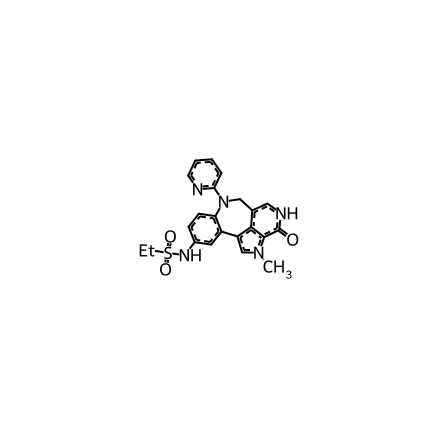 CCS(=O)(=O)Nc1ccc2c(c1)-c1cn(C)c3c(=O)[nH]cc(c13)CN2c1ccccn1